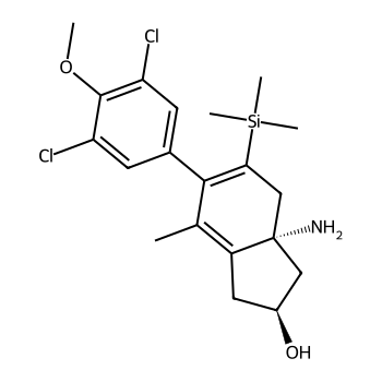 COc1c(Cl)cc(C2=C([Si](C)(C)C)C[C@@]3(N)C[C@@H](O)CC3=C2C)cc1Cl